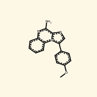 COc1ccc(-c2cnc3c(N)nc4ccccc4n23)cc1